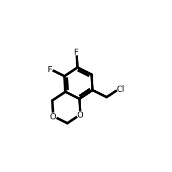 Fc1cc(CCl)c2c(c1F)COCO2